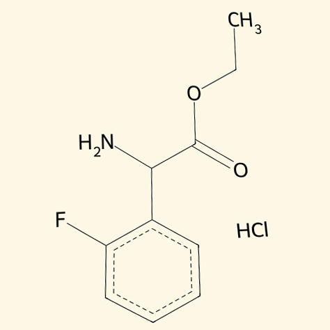 CCOC(=O)C(N)c1ccccc1F.Cl